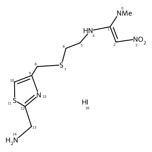 CNC(=C[N+](=O)[O-])NCCSCc1csc(CN)n1.I